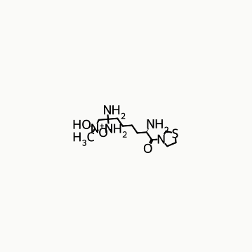 C[N+]([O-])(O)CC(N)(N)CCCC[C@H](N)C(=O)N1CCSC1